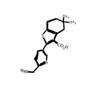 CNCc1ccc(-c2sc3c(c2C(=O)O)CC(C)(C)CC3)cn1